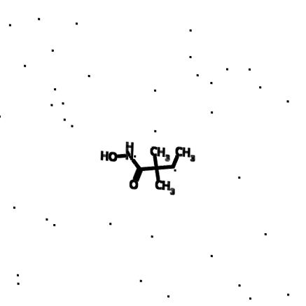 CCC(C)(C)C(=O)NO